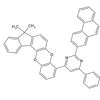 CC1(C)c2ccccc2-c2c1ccc1c2Oc2cccc(-c3cc(-c4ccccc4)nc(-c4ccc5c(ccc6ccccc65)c4)n3)c2O1